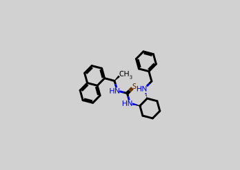 C[C@@H](NC(=S)N[C@@H]1CCCC[C@H]1NCc1ccccc1)c1cccc2ccccc12